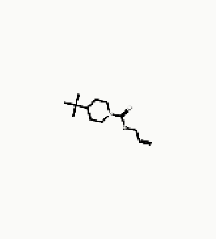 C=CCOC(=O)N1CCC(C(C)(C)C)CC1